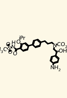 CC(C)Oc1cc(-c2ccc(CCCN(C[C@@H](O)c3ccc(N)cc3)C(=O)O)cc2)ccc1C(=O)NS(C)(=O)=O